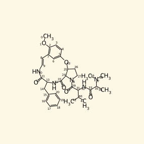 COc1ccc2cc1/C=C/NC(=O)C(Cc1ccccc1)NC(=O)C1C(CCN1C(=O)C(NC(=O)C(C)N(C)C)C(C)C)O2